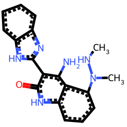 CNN(C)c1cccc2[nH]c(=O)c(-c3nc4ccccc4[nH]3)c(N)c12